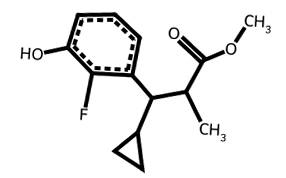 COC(=O)C(C)C(c1cccc(O)c1F)C1CC1